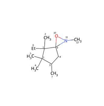 CCC1(C)C(C)(C)C(C)CC12ON2C